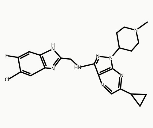 CN1CCC(n2nc(NCc3nc4cc(Cl)c(F)cc4[nH]3)c3ncc(C4CC4)nc32)CC1